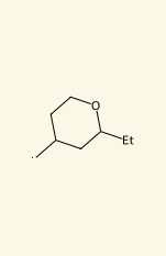 [CH2]C1CCOC(CC)C1